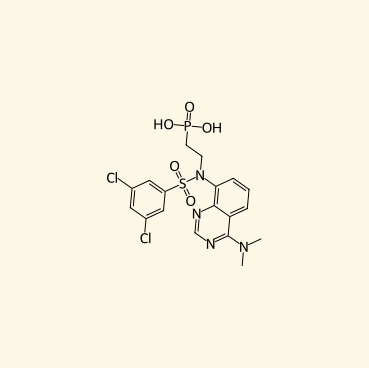 CN(C)c1ncnc2c(N(CCP(=O)(O)O)S(=O)(=O)c3cc(Cl)cc(Cl)c3)cccc12